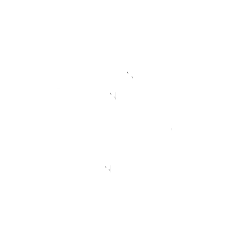 N#Cc1c(Cl)[c]nn1C(F)(F)F